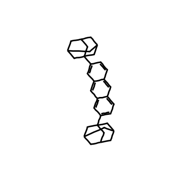 c1cc2cc3ccc(C45CC6CC(CC(C6)C4)C5)cc3cc2cc1C12CC3CC(CC(C3)C1)C2